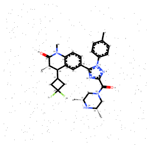 Cc1ccc(-n2nc(C(=O)N3C[C@@H](C)N[C@@H](C)C3)nc2-c2ccc3c(c2)C(C2CC(F)(F)C2)[C@H](C)C(=O)N3C)cc1